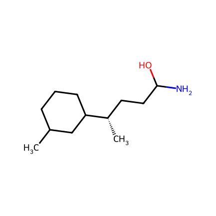 CC1CCCC([C@@H](C)CCC(N)O)C1